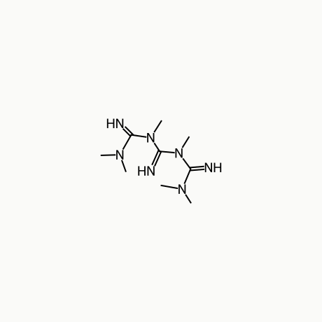 CN(C)C(=N)N(C)C(=N)N(C)C(=N)N(C)C